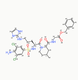 CC1CCN(C(=O)[C@H](CCCNc2ncc[nH]2)NS(=O)(=O)c2cc(Cl)c(N)c(Cl)c2)C(C(=O)NCC(=O)OCc2ccccc2)C1